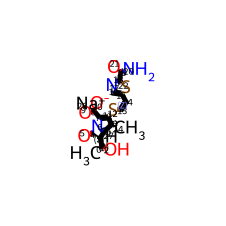 C[C@@H](O)[C@H]1C(=O)N2C(C(=O)[O-])=C(S/C=C\c3cnc(C(N)=O)s3)[C@H](C)[C@H]12.[Na+]